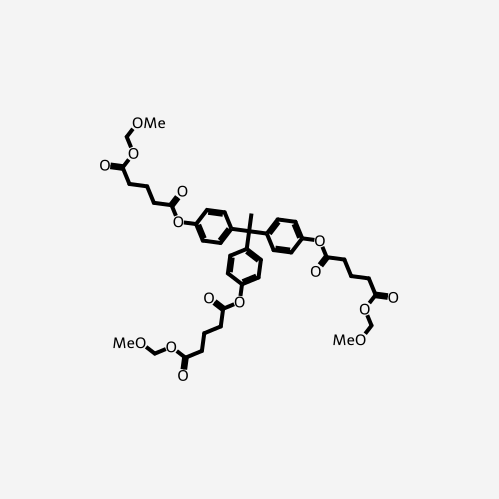 COCOC(=O)CCCC(=O)Oc1ccc(C(C)(c2ccc(OC(=O)CCCC(=O)OCOC)cc2)c2ccc(OC(=O)CCCC(=O)OCOC)cc2)cc1